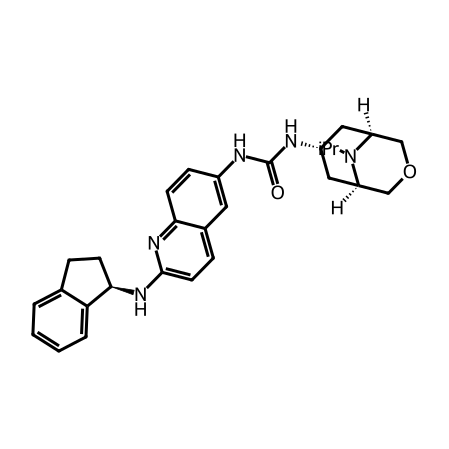 CC(C)N1[C@@H]2COC[C@H]1C[C@H](NC(=O)Nc1ccc3nc(N[C@@H]4CCc5ccccc54)ccc3c1)C2